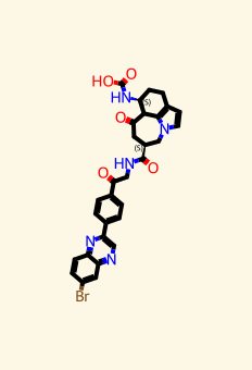 O=C(O)N[C@H]1CCc2ccn3c2C1C(=O)C[C@H](C(=O)NCC(=O)c1ccc(-c2cnc4cc(Br)ccc4n2)cc1)C3